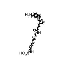 NCc1ccc2ccn(Cc3nccn3CCCCC(=O)NCCOCCOCCOCCNC(=O)O)c2c1